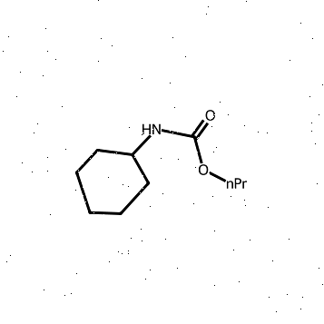 CCCOC(=O)NC1CCCCC1